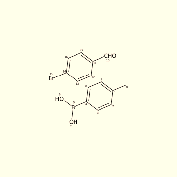 Cc1ccc(B(O)O)cc1.O=Cc1ccc(Br)cc1